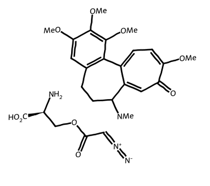 CNC1CCc2cc(OC)c(OC)c(OC)c2-c2ccc(OC)c(=O)cc21.[N-]=[N+]=CC(=O)OC[C@H](N)C(=O)O